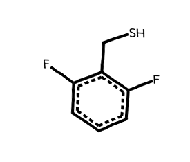 Fc1cccc(F)c1CS